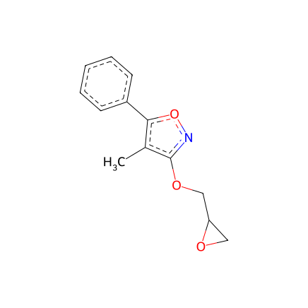 Cc1c(OCC2CO2)noc1-c1ccccc1